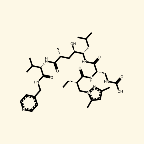 CC[C@@H](Cn1nc(C)cc1C)C(=O)N[C@@H](CNC(=O)O)C(=O)N[C@@H](CC(C)C)[C@H](O)C[C@@H](C)C(=O)N[C@H](C(=O)NCc1ccncc1)C(C)C